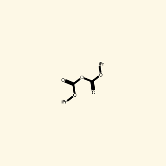 CC(C)OC(=O)OC(=O)OC(C)C